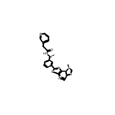 C[C@H](NC(=O)Cc1cccnc1)c1cccc(-c2nc3c(ncc4ncn(C)c43)s2)c1